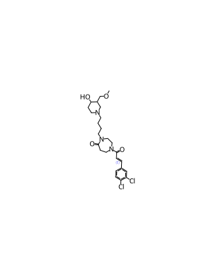 COCC1CN(CCCCN2CCN(C(=O)/C=C/c3ccc(Cl)c(Cl)c3)CCC2=O)CCC1O